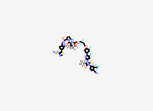 Cc1ncsc1-c1ccc(CNC(=O)C2CCCN2C(=O)C(NC(=O)COCC(F)(F)CCOc2ccc(-c3ncc(N4C(=S)N(c5ccc(C#N)c(C(F)(F)F)c5F)C(=O)C4(C)C)cc3F)cc2F)C(C)(C)C)cc1